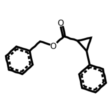 O=C(OCc1ccccc1)C1CC1c1ccccc1